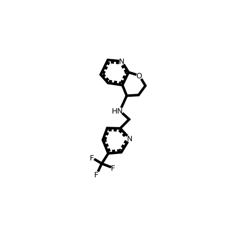 FC(F)(F)c1ccc(CNC2CCOc3ncccc32)nc1